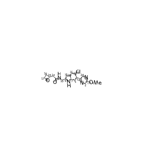 COc1cnc(-c2cc3[nH]c(CNC(=O)CC4CCO4)cc3cc2Cl)cn1